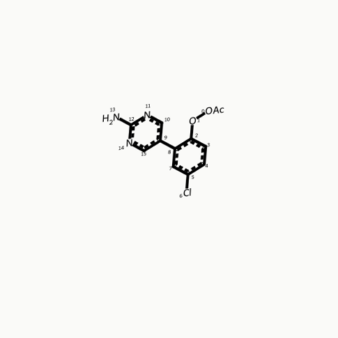 CC(=O)OOc1ccc(Cl)cc1-c1cnc(N)nc1